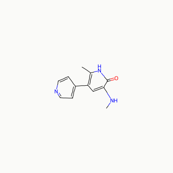 CNc1cc(-c2ccncc2)c(C)[nH]c1=O